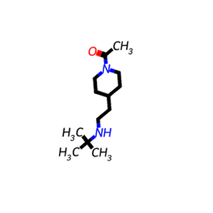 CC(=O)N1CCC(CCNC(C)(C)C)CC1